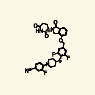 N#Cc1ccc(N2CCC(Sc3c(F)cc(COc4cccc5c4CN([C@H]4CCC(=O)NC4=O)C5=O)cc3F)CC2)c(F)c1